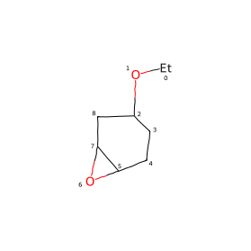 [CH2]COC1CCC2OC2C1